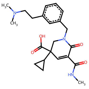 CNC(=O)C1=CC(C(=O)O)(C2CC2)CN(Cc2cccc(CCN(C)C)c2)C1=O